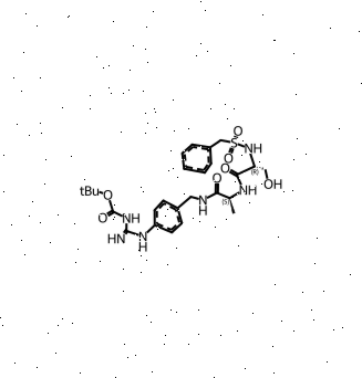 C[C@H](NC(=O)[C@@H](CO)NS(=O)(=O)Cc1ccccc1)C(=O)NCc1ccc(NC(=N)NC(=O)OC(C)(C)C)cc1